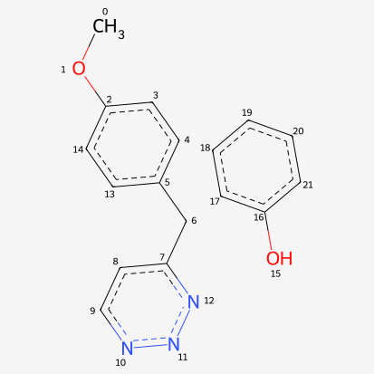 COc1ccc(Cc2ccnnn2)cc1.Oc1ccccc1